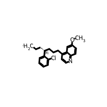 [CH2]CC[C@H](CCCc1ccnc2ccc(OC)cc12)c1ccccc1Cl